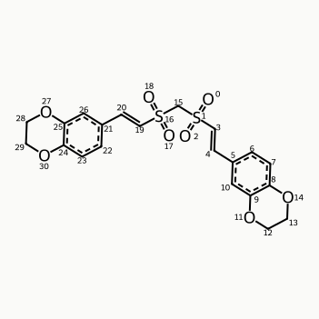 O=S(=O)(/C=C/c1ccc2c(c1)OCCO2)CS(=O)(=O)/C=C/c1ccc2c(c1)OCCO2